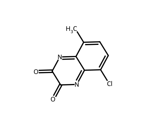 Cc1ccc(Cl)c2c1=NC(=O)C(=O)N=2